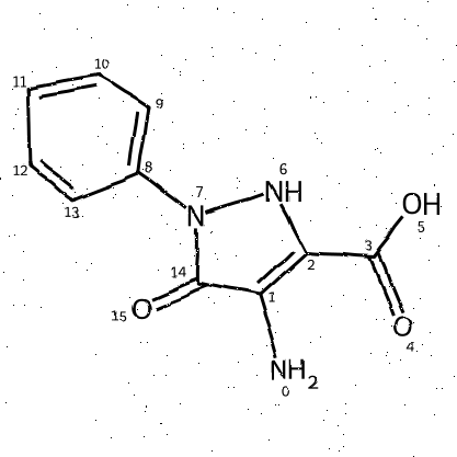 Nc1c(C(=O)O)[nH]n(-c2ccccc2)c1=O